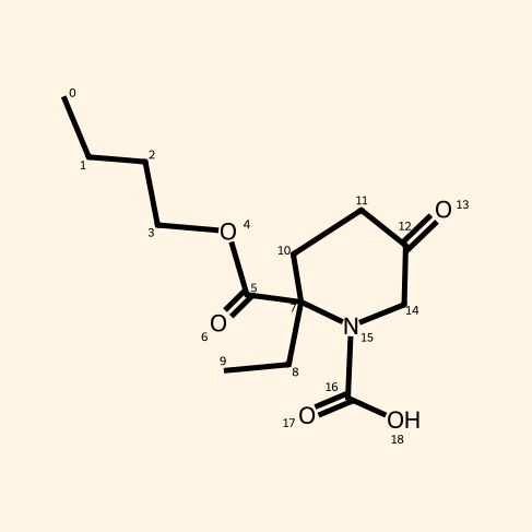 CCCCOC(=O)C1(CC)CCC(=O)CN1C(=O)O